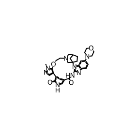 Cn1ncc2c1OCCN1CC3CCC(C3)(C1)n1c(nc3ccc(N4CCOCC4)cc31)NC(=O)c1c[nH]c(=O)c-2c1